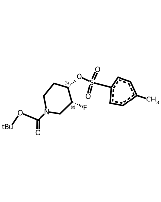 Cc1ccc(S(=O)(=O)O[C@H]2CCN(C(=O)OC(C)(C)C)C[C@H]2F)cc1